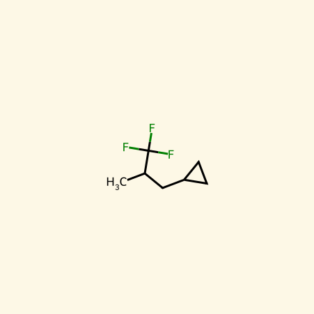 CC(CC1CC1)C(F)(F)F